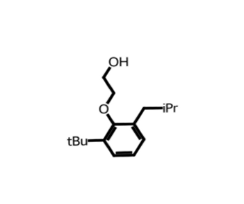 CC(C)Cc1cccc(C(C)(C)C)c1OCCO